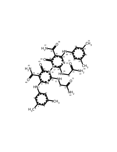 Cc1cc(C)cc(Nc2nc(NCC(N)=O)n(-n3c(NCC(N)=O)nc(Nc4cc(C)cc(C)c4)c(C(N)=O)c3=O)c(=O)c2C(N)=O)c1